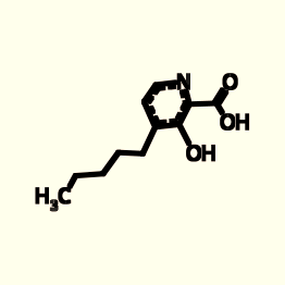 CCCCCc1ccnc(C(=O)O)c1O